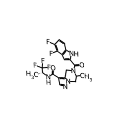 CC1Cn2ncc(C(=O)N[C@H](C)C(F)(F)F)c2CN1C(=O)c1cc2c(F)c(F)ccc2[nH]1